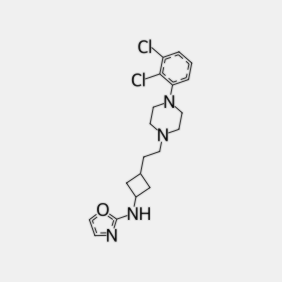 Clc1cccc(N2CCN(CCC3CC(Nc4ncco4)C3)CC2)c1Cl